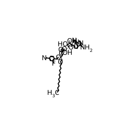 CCCCCCCCCCCCCCOC[C@H](COP(=O)(O)OC[C@H]1O[C@@](C#N)(c2ccc3c(N)ncnn23)[C@H](O)[C@@H]1O)OCc1ccc(C#N)cc1F